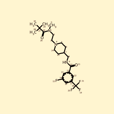 CN(CCN1CCC(CNC(=O)c2cc(F)cc(C(F)(F)F)c2)CC1)C(=O)C(C)(C)C